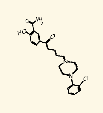 NC(=O)c1cc(C(=O)CCCCN2CCN(c3ccccc3Cl)CC2)ccc1O